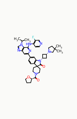 CC(C)n1cnc2cc(-c3ccc4c(c3)N([C@H]3C[C@@H](N5CCC(C)(C)C5)C3)C(=O)C43CCN(C(=O)[C@H]4CCCO4)CC3)nc(Nc3ccncc3F)c21